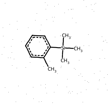 Cc1[c]cccc1[Si](C)(C)C